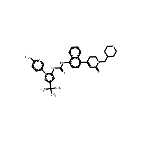 Cc1ccc(-n2nc(C(C)(C)C)cc2NC(=O)Nc2ccc(C3=CC(=O)N(CC4CCOCC4)CC3)c3ccccc23)cn1